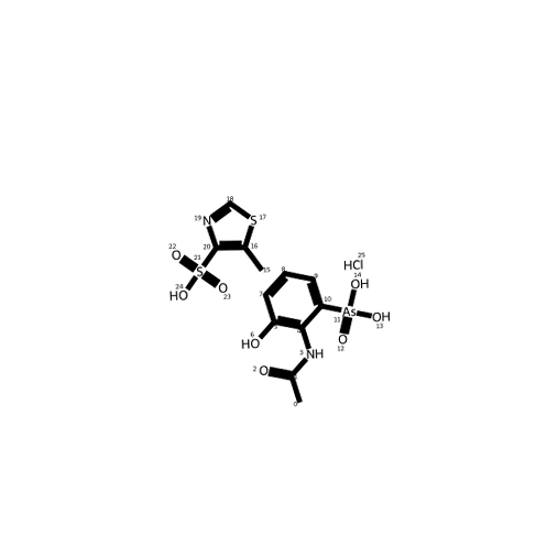 CC(=O)Nc1c(O)cccc1[As](=O)(O)O.Cc1scnc1S(=O)(=O)O.Cl